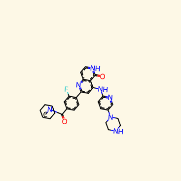 O=C(c1ccc(-c2cc(Nc3ccc(N4CCNCC4)cn3)c3c(=O)[nH]ccc3n2)c(F)c1)N1CC2CCC1CC2